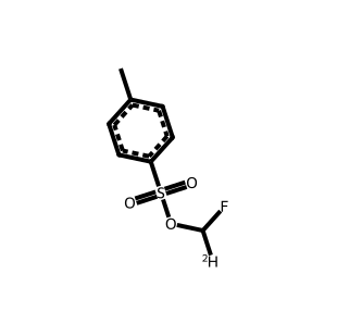 [2H]C(F)OS(=O)(=O)c1ccc(C)cc1